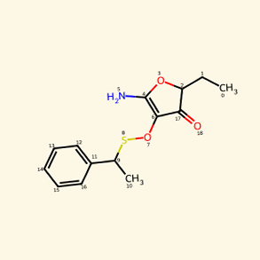 CCC1OC(N)=C(OSC(C)c2ccccc2)C1=O